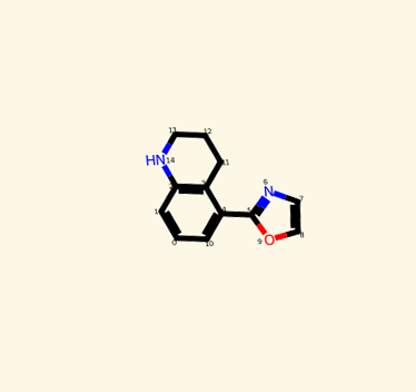 c1cc2c(c(-c3ncco3)c1)CCCN2